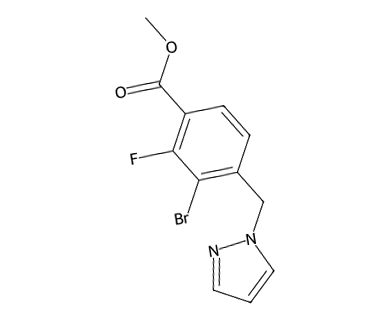 COC(=O)c1ccc(Cn2cccn2)c(Br)c1F